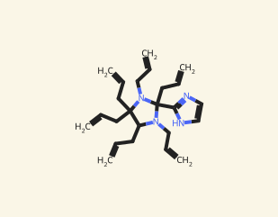 C=CCC1N(CC=C)C(CC=C)(c2ncc[nH]2)N(CC=C)C1(CC=C)CC=C